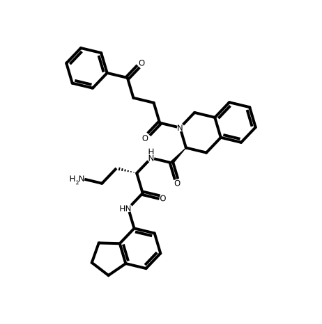 NCC[C@H](NC(=O)[C@@H]1Cc2ccccc2CN1C(=O)CCC(=O)c1ccccc1)C(=O)Nc1cccc2c1CCC2